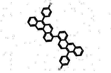 Brc1ccc(-c2c3ccccc3cc3c2ccc2c(-c4cccc5c4ccc4c(-c6ccc(Br)cc6)c6ccccc6cc45)cccc23)cc1